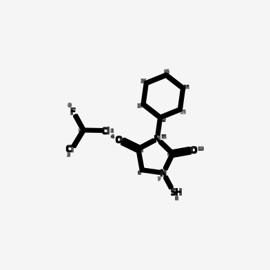 FC(Cl)Cl.O=C1CN(S)C(=O)N1C1CCCCC1